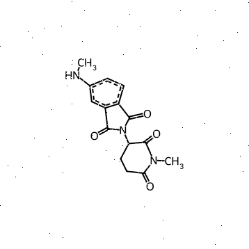 CNc1ccc2c(c1)C(=O)N(C1CCC(=O)N(C)C1=O)C2=O